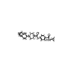 O=C(NC1CC1)c1ccc(CC(=O)N2CCN(c3ccc4nncn4n3)CC2)cc1